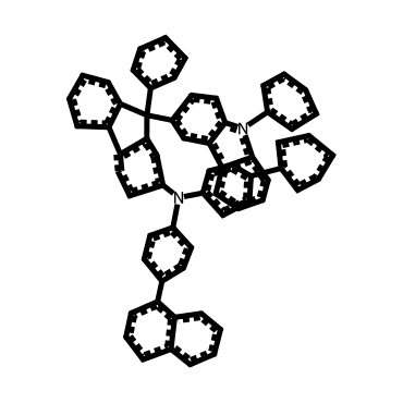 c1ccc(-c2ccc(N(c3ccc(-c4cccc5ccccc45)cc3)c3ccc4c(c3)C(c3ccccc3)(c3ccc5c(c3)c3ccccc3n5-c3ccccc3)c3ccccc3-4)cc2)cc1